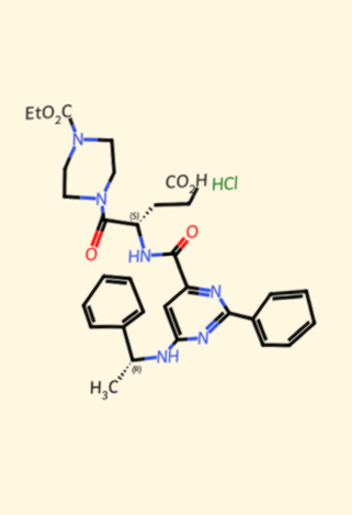 CCOC(=O)N1CCN(C(=O)[C@H](CCC(=O)O)NC(=O)c2cc(N[C@H](C)c3ccccc3)nc(-c3ccccc3)n2)CC1.Cl